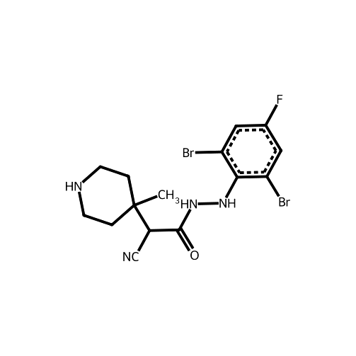 CC1(C(C#N)C(=O)NNc2c(Br)cc(F)cc2Br)CCNCC1